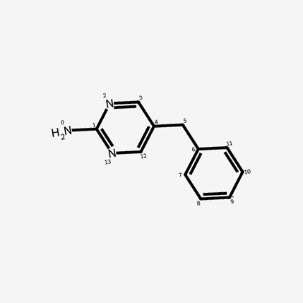 Nc1ncc(Cc2cc[c]cc2)cn1